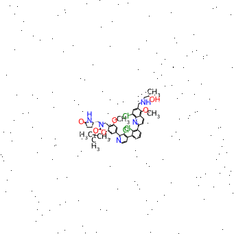 COc1cc(-c2nccc(-c3cccc(-c4ccc5c(OC)c(CNC[C@H](C)O)cc(Cl)c5n4)c3Cl)c2Cl)ccc1CN(C[C@@H]1CCC(=O)N1)C(=O)OC(C)(C)C